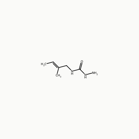 C/C=C(\C)CNC(=O)NN